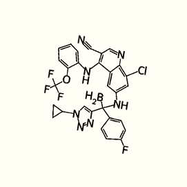 BC(Nc1cc(Cl)c2ncc(C#N)c(Nc3ccccc3OC(F)(F)F)c2c1)(c1ccc(F)cc1)c1cn(C2CC2)nn1